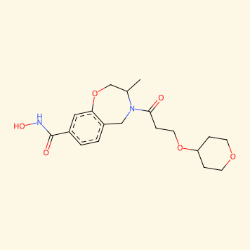 CC1COc2cc(C(=O)NO)ccc2CN1C(=O)CCOC1CCOCC1